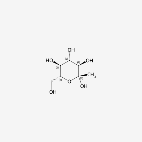 C[C@@]1(O)O[C@H](CO)[C@@H](O)[C@H](O)[C@H]1O